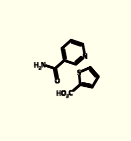 NC(=O)c1cccnc1.O=C(O)c1cccs1